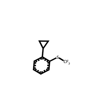 FC(F)(F)Sc1ccccc1C1CC1